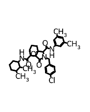 Cc1cc(C)cc(NC(=O)C2N(Cc3ccc(Cl)cc3)C(=O)C3C(C(=O)NC4CCCC(C)C4C)C4CCC32O4)c1